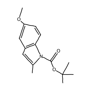 COc1ccc2c(c1)cc(C)n2C(=O)OC(C)(C)C